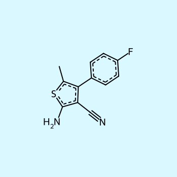 Cc1sc(N)c(C#N)c1-c1ccc(F)cc1